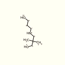 CC(C)(CO)CNCCCO